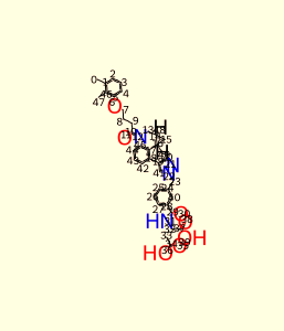 Cc1cccc(OCCCC(=O)N2C[C@@H]3C[C@@H]3c3c(-c4cnn(Cc5cccc(C(=O)N[C@@H](CC(=O)O)C(=O)O)c5)c4)cccc32)c1C